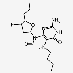 CCCCN(C)c1c(N(C=O)C2CC(F)C(CCC)O2)nc(N)[nH]c1=O